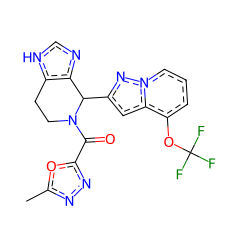 Cc1nnc(C(=O)N2CCc3[nH]cnc3C2c2cc3c(OC(F)(F)F)cccn3n2)o1